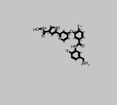 NCc1ccc(F)c(NC(=O)c2ccc(F)c(Oc3ccnc(-c4cc(C(=O)NO)c[nH]4)c3)c2)c1